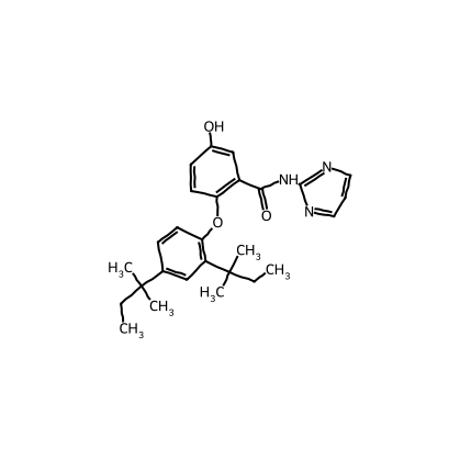 CCC(C)(C)c1ccc(Oc2ccc(O)cc2C(=O)Nc2ncccn2)c(C(C)(C)CC)c1